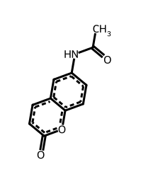 CC(=O)Nc1ccc2oc(=O)ccc2c1